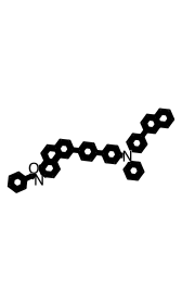 c1ccc(-c2nc3ccc4c5cc(-c6ccc(-c7ccc(N(c8ccccc8)c8ccc(-c9ccc%10ccccc%10c9)cc8)cc7)cc6)ccc5ccc4c3o2)cc1